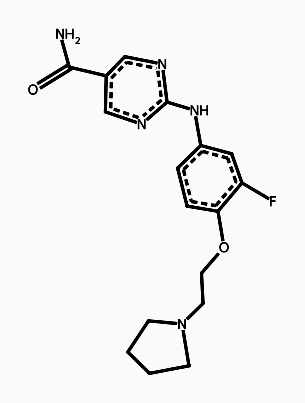 NC(=O)c1cnc(Nc2ccc(OCCN3CCCC3)c(F)c2)nc1